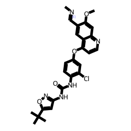 C/N=C/c1cc2c(Oc3ccc(NC(=O)Nc4cc(C(C)(C)C)on4)c(Cl)c3)ccnc2cc1OC